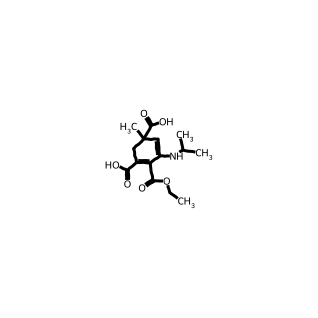 CCOC(=O)C1=C(C(=O)O)CC(C)(C(=O)O)C=C1NC(C)C